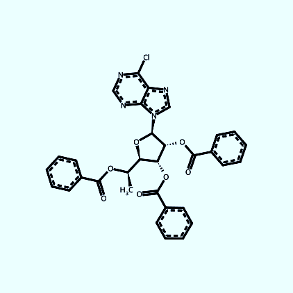 C[C@@H](OC(=O)c1ccccc1)[C@H]1O[C@@H](n2cnc3c(Cl)ncnc32)[C@H](OC(=O)c2ccccc2)[C@@H]1OC(=O)c1ccccc1